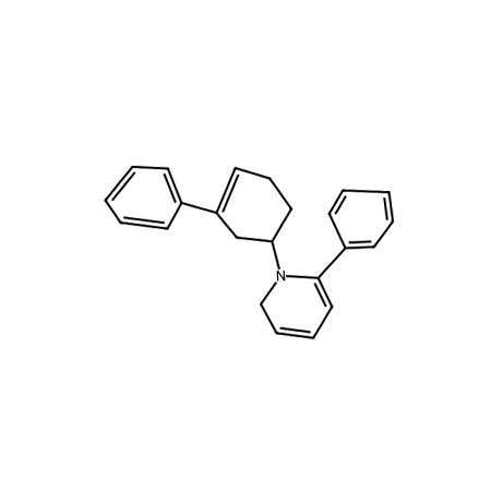 C1=CCN(C2CCC=C(c3ccccc3)C2)C(c2ccccc2)=C1